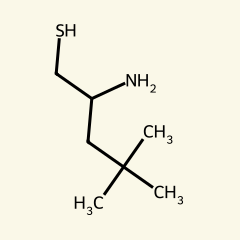 CC(C)(C)CC(N)CS